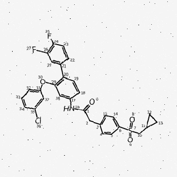 O=C(Cc1ccc(S(=O)(=O)CC2CC2)cc1)Nc1ccc(-c2ccc(F)c(F)c2)c(Oc2cccc(Cl)c2)c1